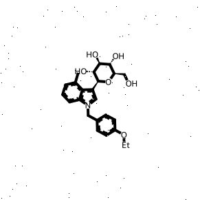 CCOc1ccc(Cn2cc([C@@H]3O[C@H](CO)[C@@H](O)[C@H](O)[C@H]3O)c3c(C)cccc32)cc1